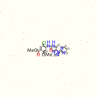 COC(=O)c1cc(Cl)c(NC(=O)NC(C)c2ncnn2-c2ncccn2)cc1OC